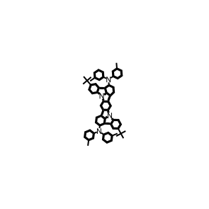 Cc1cccc(N(c2cccc(C)c2)c2ccc3c4cc5c(cc4n4c6ccc(C(C)(C)C)cc6c2c34)c2ccc(N(c3cccc(C)c3)c3cccc(C)c3)c3c4cc(C(C)(C)C)ccc4n5c23)c1